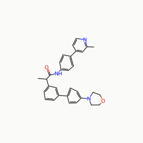 Cc1cc(-c2ccc(NC(=O)C(C)c3cccc(-c4ccc(N5CCOCC5)cc4)c3)cc2)ccn1